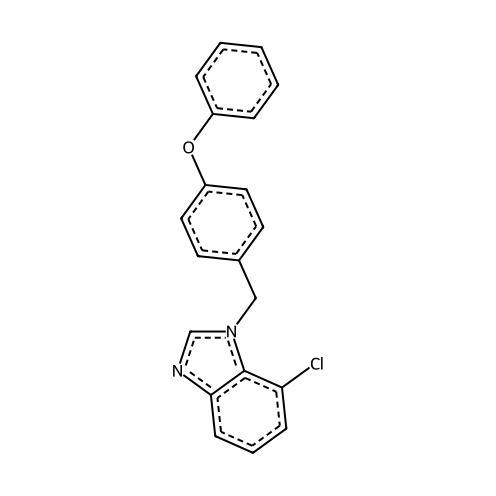 Clc1cccc2ncn(Cc3ccc(Oc4ccccc4)cc3)c12